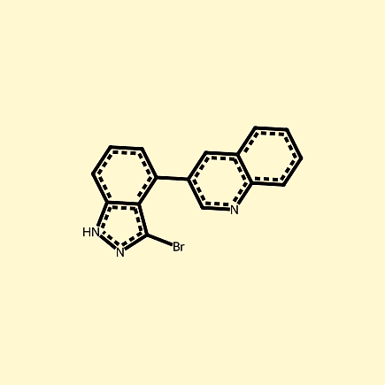 Brc1n[nH]c2cccc(-c3cnc4ccccc4c3)c12